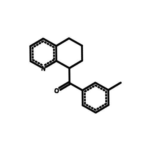 Cc1cccc(C(=O)C2CCCc3cccnc32)c1